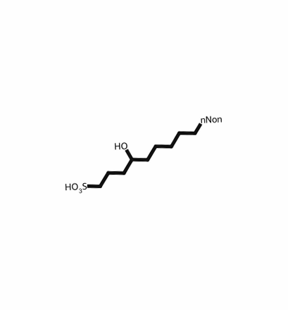 CCCCCCCCCCCCCCC(O)CCCS(=O)(=O)O